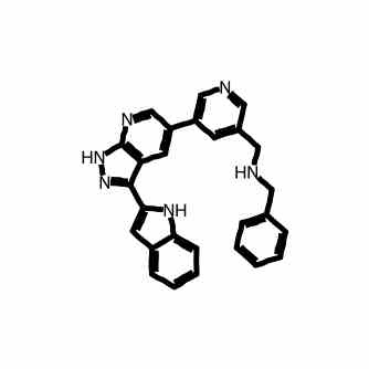 c1ccc(CNCc2cncc(-c3cnc4[nH]nc(-c5cc6ccccc6[nH]5)c4c3)c2)cc1